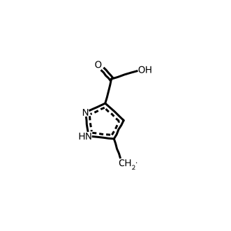 [CH2]c1cc(C(=O)O)n[nH]1